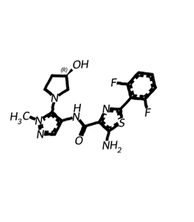 Cn1ncc(NC(=O)c2nc(-c3c(F)cccc3F)sc2N)c1N1CC[C@@H](O)C1